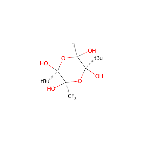 CC(C)(C)[C@]1(O)O[C@](O)(C(F)(F)F)[C@](O)(C(C)(C)C)O[C@@]1(C)O